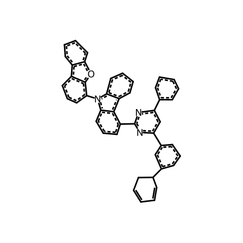 C1=CCC(c2cccc(-c3cc(-c4ccccc4)nc(-c4cccc5c4c4ccccc4n5-c4cccc5c4oc4ccccc45)n3)c2)C=C1